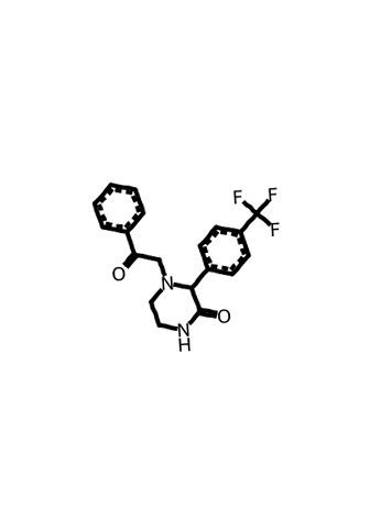 O=C(CN1CCNC(=O)C1c1ccc(C(F)(F)F)cc1)c1ccccc1